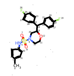 Cc1ccc(NS(=O)(=O)N2CCOC(C(c3ccc(F)cc3)c3ccc(F)cc3)C2)cc1